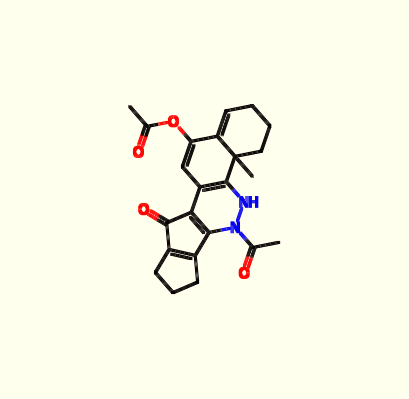 CC(=O)OC1=Cc2c([nH]n(C(C)=O)c3c4c(c(=O)c2=3)CCC4)C2(C)CCCC=C12